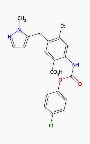 CCc1cc(NC(=O)Oc2ccc(Cl)cc2)c(C(=O)O)cc1Cc1ccnn1C